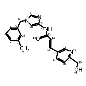 Cc1cccc(Cn2cnc(NC(=O)/C=C/c3ccc(CO)nc3)c2)c1